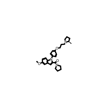 COc1ccc2c(c1)cc(C(=O)N1CCCC1)n2-c1ccc(OCCCN2CCC[C@H]2C)cc1